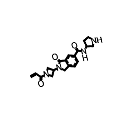 C=CC(=O)N1CC(N2Cc3ccc(C(=O)NC4CCNC4)cc3C2=O)C1